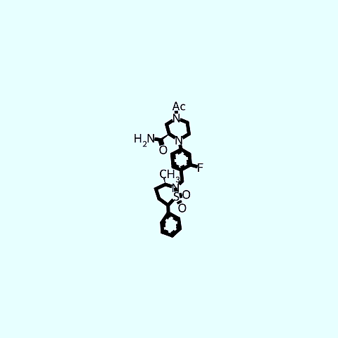 CC(=O)N1CCN(c2ccc(CN3[C@@H](C)CCC(c4ccccc4)S3(=O)=O)c(F)c2)[C@@H](C(N)=O)C1